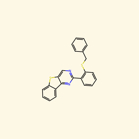 [c]1cccc(-c2ncc3sc4ccccc4c3n2)c1SCc1ccccc1